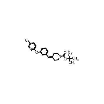 CC(C)(C)OC(=O)N1CCC(=Cc2cccc(Oc3ccc(Cl)cn3)c2)CC1